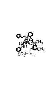 Cc1cc(C)cc(N(C)C(=O)COc2ccccc2N(CCC2CCCC2)C(=O)CNC(=O)Nc2cccc(C(=O)O)c2)c1